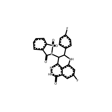 O=C1c2ccccc2S(=O)(=O)N1C1c2n[nH]c(=O)c3cc(F)cc(c23)NC1c1ccc(F)cc1